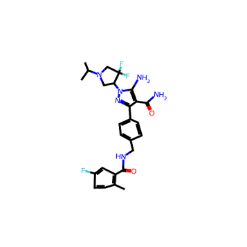 Cc1ccc(F)cc1C(=O)NCc1ccc(-c2nn(C3CN(C(C)C)CC3(F)F)c(N)c2C(N)=O)cc1